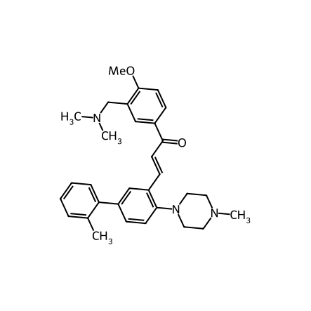 COc1ccc(C(=O)C=Cc2cc(-c3ccccc3C)ccc2N2CCN(C)CC2)cc1CN(C)C